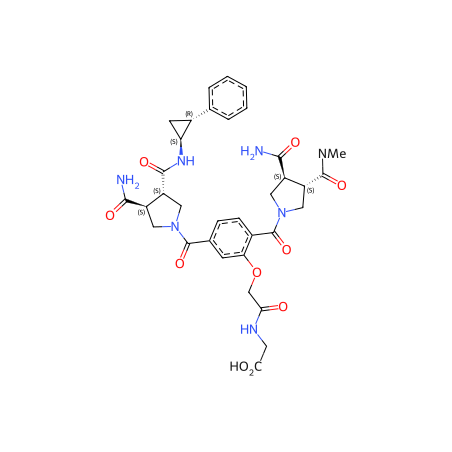 CNC(=O)[C@@H]1CN(C(=O)c2ccc(C(=O)N3C[C@@H](C(N)=O)[C@H](C(=O)N[C@H]4C[C@@H]4c4ccccc4)C3)cc2OCC(=O)NCC(=O)O)C[C@H]1C(N)=O